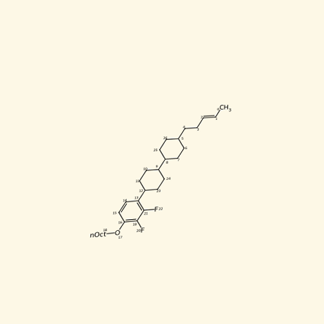 C/C=C/CCC1CCC(C2CCC(c3ccc(OCCCCCCCC)c(F)c3F)CC2)CC1